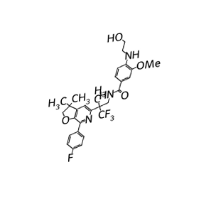 COc1cc(C(=O)NCC(C)(c2cc3c(c(-c4ccc(F)cc4)n2)OCC3(C)C)C(F)(F)F)ccc1NCCO